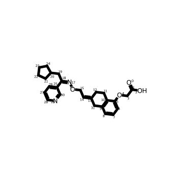 O=C(O)COc1cccc2c1CCC(=CCON=C(CC1CCCC1)c1cccnc1)C2